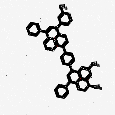 Cc1cccc(N(C=C(c2ccccc2)c2ccccc2)c2ccc(-c3ccc(N(/C=C(\C4=CCC(C)C=C4)c4ccccc4)c4cccc(C)c4)cc3)cc2)c1